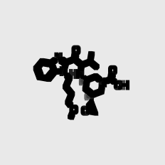 COCCCCn1c(C(=O)C(N[C@H]2C[C@@H](C3CO3)CN(C(=O)O)C2)C(C)C)nc2ccccc21